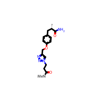 CNC(=O)CCn1cc(COc2ccc(C[C@H](C)C(N)=O)cc2)nn1